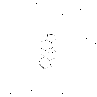 C[C@]12CC=CCC1CC[C@@H]1[C@H]2CC[C@]2(C)C(O)CC[C@@H]12